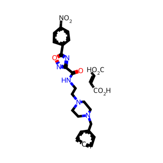 O=C(NCCN1CCN(Cc2ccccc2)CC1)c1noc(-c2ccc([N+](=O)[O-])cc2)n1.O=C(O)/C=C/C(=O)O